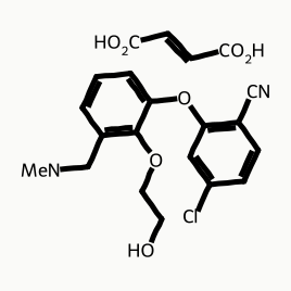 CNCc1cccc(Oc2cc(Cl)ccc2C#N)c1OCCO.O=C(O)/C=C/C(=O)O